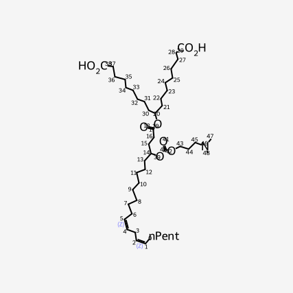 CCCCC/C=C\C/C=C\CCCCCCCCC(CCC(=O)OC(CCCCCCCCC(=O)O)CCCCCCCCC(=O)O)OC(=O)OCCCN(C)C